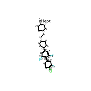 CCCCCCC[C@H]1CC[C@H](CC[C@H]2CC[C@H](c3cc(F)c(-c4ccc(Cl)c(F)c4)c(F)c3)CC2)CC1